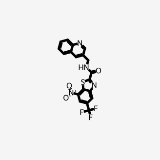 O=C(NCc1cnc2ccccc2c1)c1nc2cc(C(F)(F)F)cc([N+](=O)[O-])c2s1